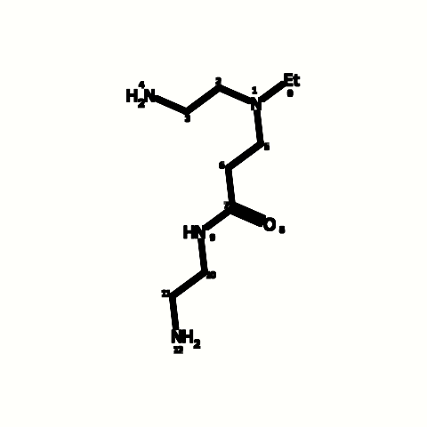 CCN(CCN)CCC(=O)NCCN